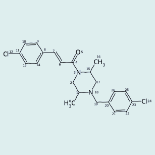 CC1CN(C(=O)C=Cc2ccc(Cl)cc2)C(C)CN1Cc1ccc(Cl)cc1